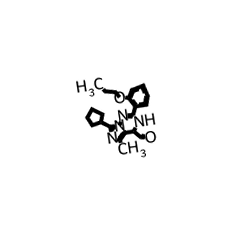 CCCOc1ccccc1C1=Nn2c(C3CCCC3)nc(C)c2C(C=O)N1